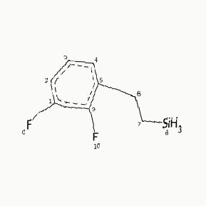 Fc1cccc(CC[SiH3])c1F